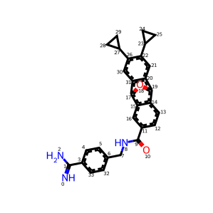 N=C(N)c1ccc(CNC(=O)c2ccc3c(c2)c2oc3c3cc(C4CC4)c(C4CC4)cc32)cc1